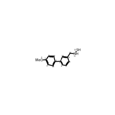 COc1ccc(-c2cccc(CNS)c2)cc1